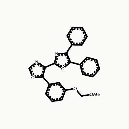 COCOc1cccc(-c2ocnc2-c2nc(-c3ccccc3)c(-c3ccccc3)o2)c1